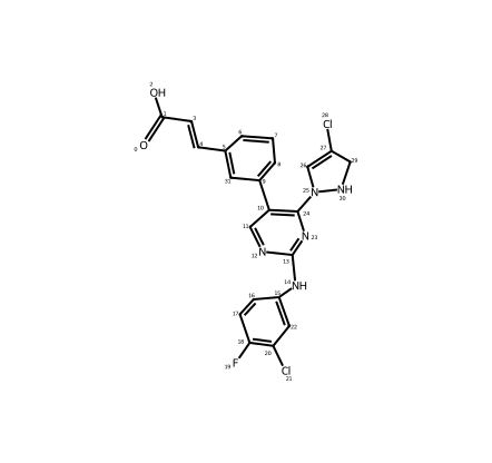 O=C(O)/C=C/c1cccc(-c2cnc(Nc3ccc(F)c(Cl)c3)nc2N2C=C(Cl)CN2)c1